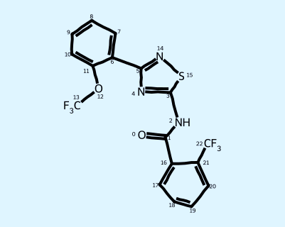 O=C(Nc1nc(-c2ccccc2OC(F)(F)F)ns1)c1ccccc1C(F)(F)F